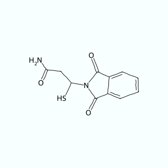 NC(=O)CC(S)N1C(=O)c2ccccc2C1=O